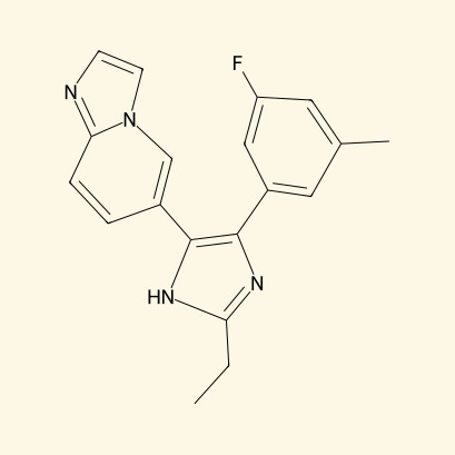 CCc1nc(-c2cc(C)cc(F)c2)c(-c2ccc3nccn3c2)[nH]1